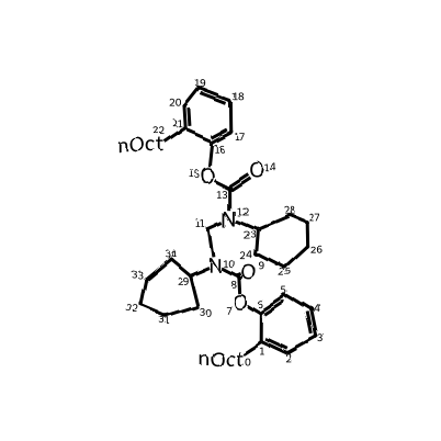 CCCCCCCCc1ccccc1OC(=O)N(CN(C(=O)Oc1ccccc1CCCCCCCC)C1CCCCC1)C1CCCCC1